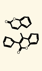 Cc1c(-c2ccccc2)c(=O)oc2ccccc12.O=c1ccc2ccccc2o1